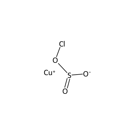 O=S([O-])OCl.[Cu+]